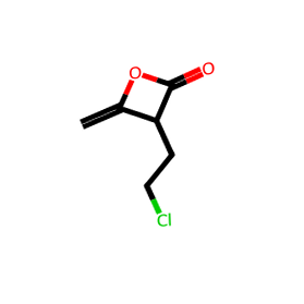 C=C1OC(=O)C1CCCl